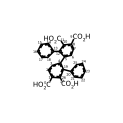 O=C(O)c1ccc(-c2ccc(C(=O)O)c(C(=O)O)c2-c2ccccc2)c(-c2ccccc2)c1C(=O)O